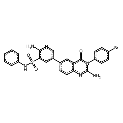 Nc1ncc(-c2ccc3nc(N)n(-c4ccc(Br)cc4)c(=O)c3c2)cc1S(=O)(=O)Nc1ccccc1